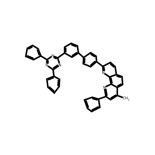 Cc1cc(-c2ccccc2)nc2c1ccc1ccc(-c3ccc(-c4cccc(-c5nc(-c6ccccc6)nc(-c6ccccc6)n5)c4)cc3)nc12